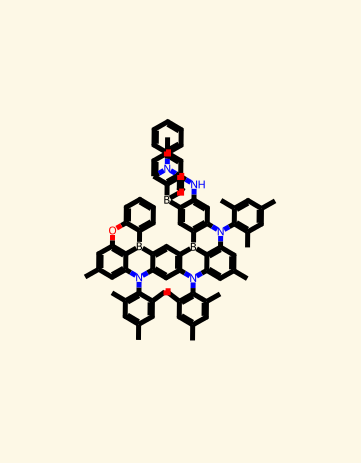 Cc1cc(C)c(N2c3cc4c(cc3B3c5ccccc5Oc5cc(C)cc2c53)B2c3cc5c(cc3N(c3c(C)cc(C)cc3C)c3cc(C)cc(c32)N4c2c(C)cc(C)cc2C)Nc2cc(C)cc3c2B5c2ccccc2N3c2ccccc2)c(C)c1